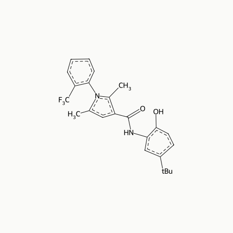 Cc1cc(C(=O)Nc2cc(C(C)(C)C)ccc2O)c(C)n1-c1ccccc1C(F)(F)F